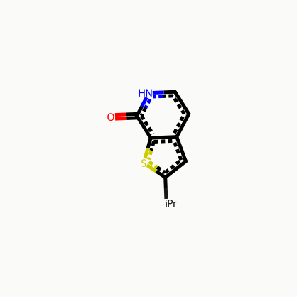 CC(C)c1cc2cc[nH]c(=O)c2s1